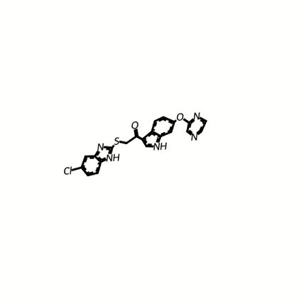 O=C(CSc1nc2cc(Cl)ccc2[nH]1)c1c[nH]c2cc(Oc3cnccn3)ccc12